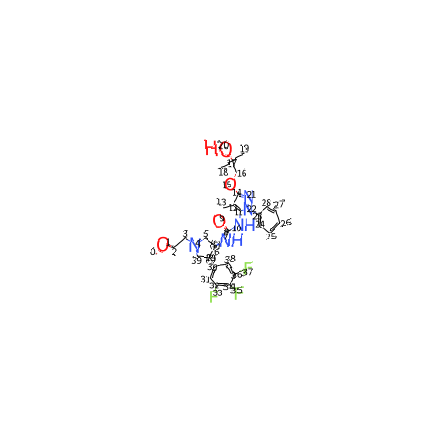 COCCN1C[C@@H](NC(=O)Nc2c(C)c(OCC(C)(C)O)nn2-c2ccccc2)[C@H](c2cc(F)c(F)c(F)c2)C1